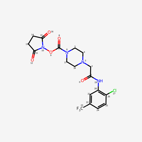 O=C(CN1CCN(C(=O)ON2C(=O)CCC2=O)CC1)Nc1cc(C(F)(F)F)ccc1Cl